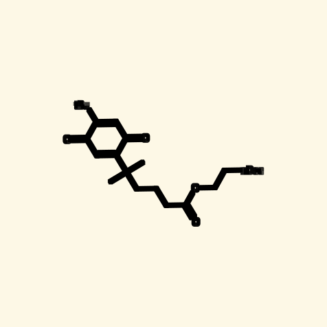 CCCCCCCCCCCCOC(=O)CCCC(C)(C)C1=CC(=O)C(C(C)(C)C)=CC1=O